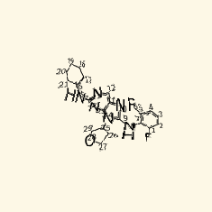 Fc1cccc(F)c1Nc1nc2cnc(NC3CCCCC3)nc2n1C1CCOC1